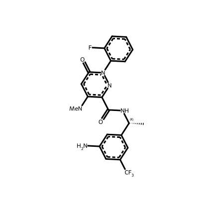 CNc1cc(=O)n(-c2ccccc2F)nc1C(=O)N[C@H](C)c1cc(N)cc(C(F)(F)F)c1